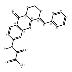 CN(C(=O)C(=O)O)c1ccc2c(=O)n3c(nc2c1)C(=Cc1ccccc1)CCC3